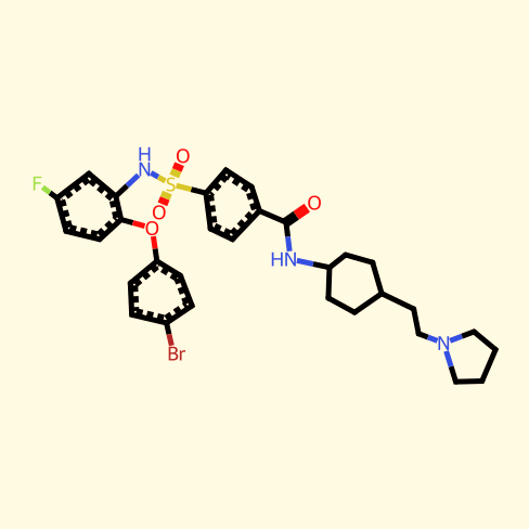 O=C(NC1CCC(CCN2CCCC2)CC1)c1ccc(S(=O)(=O)Nc2cc(F)ccc2Oc2ccc(Br)cc2)cc1